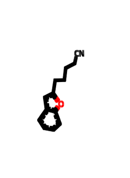 N#CCCCCc1cc2ccccc2o1